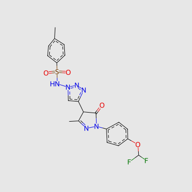 CC1=NN(c2ccc(OC(F)F)cc2)C(=O)C1c1cn(NS(=O)(=O)c2ccc(C)cc2)nn1